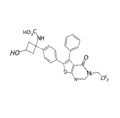 O=C(O)NC1(c2ccc(-c3oc4ncn(CC(F)(F)F)c(=O)c4c3-c3ccccc3)cc2)CC(O)C1